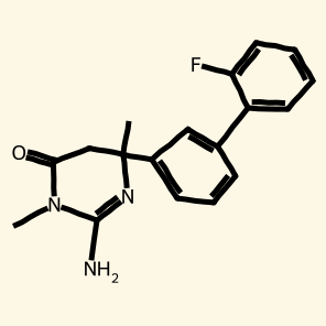 CN1C(=O)CC(C)(c2cccc(-c3ccccc3F)c2)N=C1N